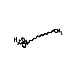 CCCCCCCCCCCCCCCCc1cccc(C)c1C